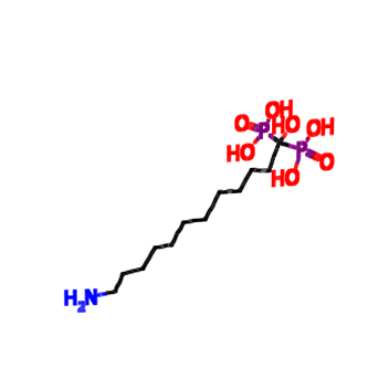 NCCCCCCCCCCCC(O)(P(=O)(O)O)P(=O)(O)O